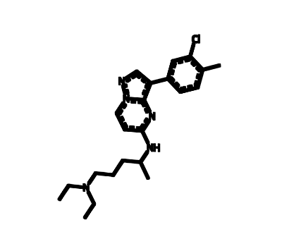 CCN(CC)CCCC(C)Nc1ccn2ncc(-c3ccc(C)c(Cl)c3)c2n1